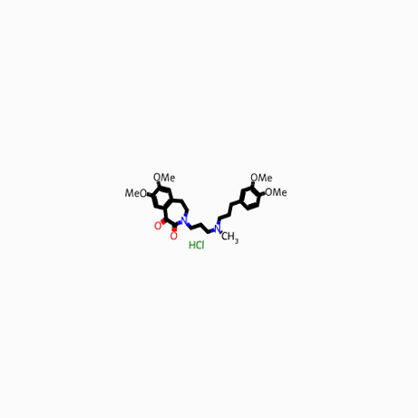 COc1ccc(CCCN(C)CCCN2CCc3cc(OC)c(OC)cc3C(=O)C2=O)cc1OC.Cl